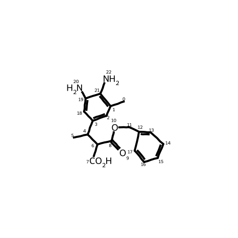 Cc1cc(C(C)C(C(=O)O)C(=O)OCc2ccccc2)cc(N)c1N